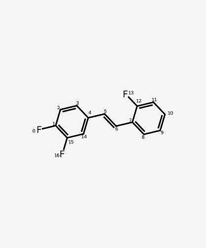 Fc1ccc(C=Cc2ccccc2F)cc1F